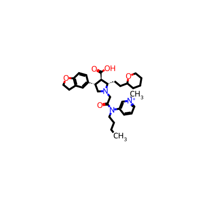 CCCCN(C(=O)CN1C[C@H](c2ccc3c(c2)CCO3)[C@@H](C(=O)O)[C@@H]1CCC1CCCCO1)c1ccc[n+](C)c1